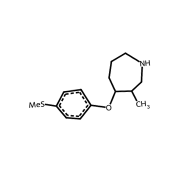 CSc1ccc(OC2CCCNCC2C)cc1